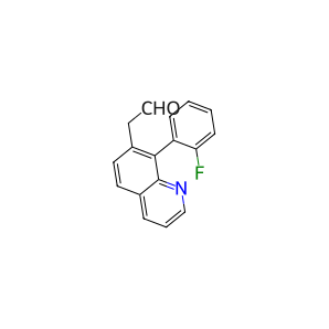 O=CCc1ccc2cccnc2c1-c1ccccc1F